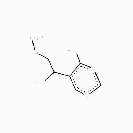 Cc1ncncc1C(COC=O)C(F)(F)F